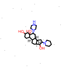 C[C@]12CC[C@@H]3[C@@H](CC(N4CCNCC4)C4(O)CC(O)CC[C@]34C)[C@@H]1CC(N1CCCCC1)C2O